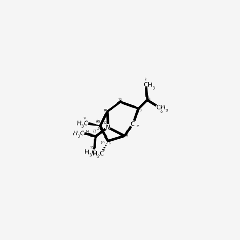 CC(C)C1CC2[C@H](C)[C@@H](C)C(C1)N2C(C)C